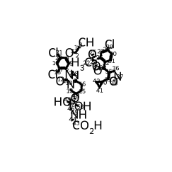 C#CCOc1cc(-n2nc3n(c2=O)CCCC3)c(Cl)cc1Cl.CS(=O)(=O)c1cc(Cl)ccc1C(=O)c1cnoc1C1CC1.O=C(O)CNCP(=O)(O)O